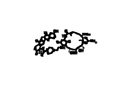 CCc1c2c(nc3ccc(O)cc13)-c1cc3c(c(=O)n1C2)COC(=O)[C@@]3(CC)OC(=O)N1CCN(CCNC2=C3C[C@@H](C)C[C@H](OC)[C@@H](O)[C@@H](C)/C=C(\C)[C@H](OC(N)O)[C@@H](OC)/C=C\C=C(/C)C(=O)NC(=CC2=O)C3=O)CC1